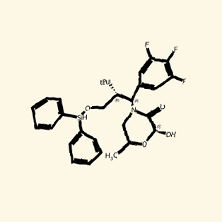 CC1CN([C@@H](c2cc(F)c(F)c(F)c2)[C@H](CO[SiH](c2ccccc2)c2ccccc2)C(C)(C)C)C(=O)[C@@H](O)O1